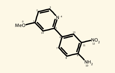 COc1ccnc(-c2ccc(N)c([N+](=O)[O-])c2)c1